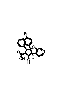 O=C(O)C1C(O)C2(O)c3ccncc3OC2(c2ccc(Br)cc2)C1c1ccccc1